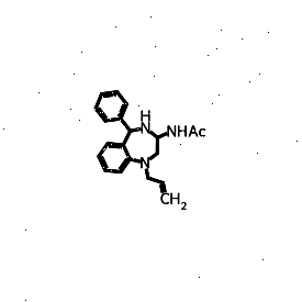 C=CCN1CC(NC(C)=O)NC(c2ccccc2)c2ccccc21